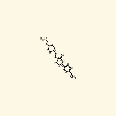 CCCC1CCC(CCC2CCC(c3ccc(CC)cc3)OC2=O)CC1